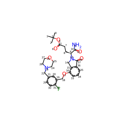 CC(C)(C)OC(=O)CC[C@@H](C(N)=O)N1Cc2c(OCc3cc(CN4CCOCC4)ccc3F)cccc2C1=O